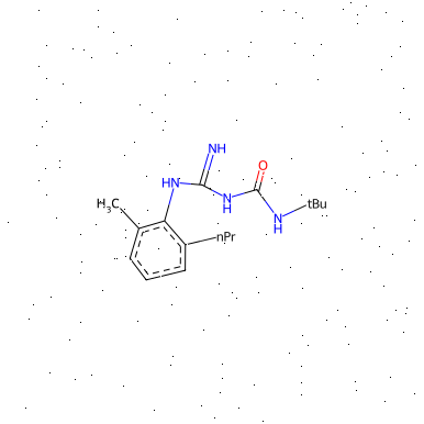 CCCc1cccc(C)c1NC(=N)NC(=O)NC(C)(C)C